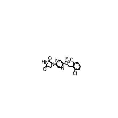 O=C1CN(c2cnc(OCc3c(Cl)cccc3C(F)(F)F)cn2)C(=O)N1